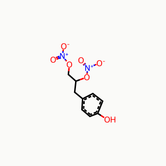 O=[N+]([O-])OCC(Cc1ccc(O)cc1)O[N+](=O)[O-]